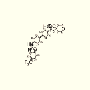 O=C(CC1(C(=O)O)CCOCC1)c1ccc(-c2ccc(Nc3nc4cc(C(F)(F)F)ccc4o3)cc2)cc1